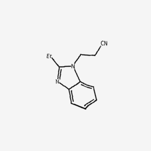 CCc1nc2ccccc2n1CCC#N